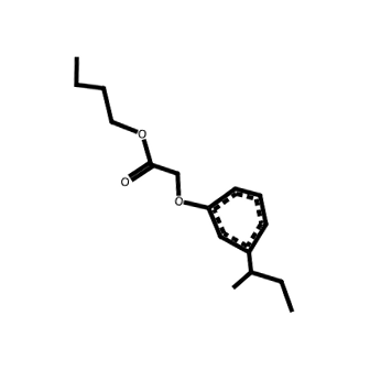 CCCCOC(=O)COc1cccc(C(C)CC)c1